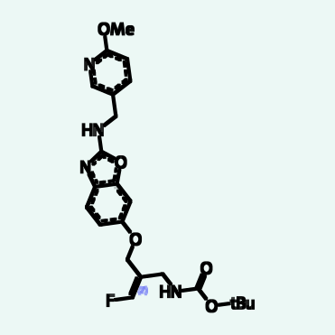 COc1ccc(CNc2nc3ccc(OC/C(=C\F)CNC(=O)OC(C)(C)C)cc3o2)cn1